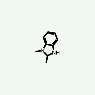 CC1Nc2ccccc2N1C